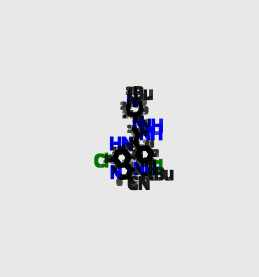 CC(C)(C)CNc1c(C#N)cnc2c(Cl)cc(NC(C3=CN(C4CCN(C(C)(C)C)CC4)NN3)c3ccc(Cl)cc3)cc12